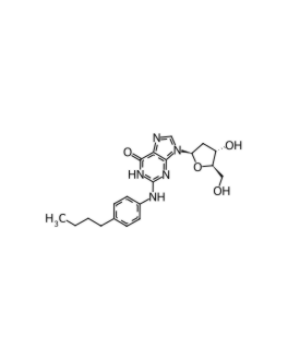 CCCCc1ccc(Nc2nc3c(ncn3[C@H]3C[C@H](O)[C@@H](CO)O3)c(=O)[nH]2)cc1